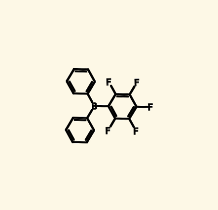 Fc1c(F)c(F)c(B(c2ccccc2)c2ccccc2)c(F)c1F